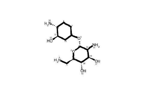 NC[C@H]1O[C@H](OC2CC[C@@H](N)[C@H](O)C2)C(N)[C@@H](O)[C@@H]1O